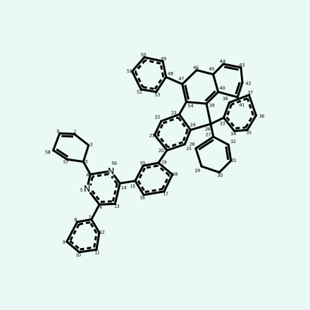 C1=CCC(c2nc(-c3ccccc3)cc(-c3cccc(-c4ccc5c(c4)C(C4=CCCC=C4)(c4ccccc4)C4=C6C=CC=CC6CC(c6ccccc6)=C45)c3)n2)C=C1